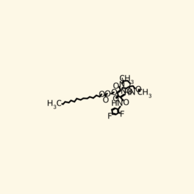 CCCCCCCCCCCCCCOC(=O)OCOc1c2n(cc(C(=O)NCc3ccc(F)cc3F)c1=O)[C@@H]1CN(C2=O)[C@@H](C)CC[C@]12CC(OC)=NO2